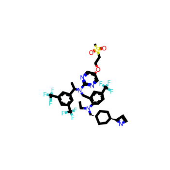 CCN(C[C@H]1CC[C@H](C2=NC=C2)CC1)c1ccc(C(F)(F)F)cc1CN(c1ncc(OCCS(C)(=O)=O)cn1)C(C)c1cc(C(F)(F)F)cc(C(F)(F)F)c1